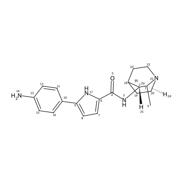 C[C@H]1[C@H](NC(=O)c2ccc(-c3ccc(N)cc3)[nH]2)C2CCN1CC2